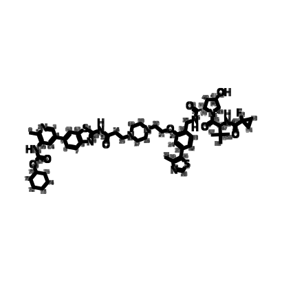 Cc1ncc(-c2ccc3nc(NC(=O)CCN4CCN(CCOc5cc(-c6scnc6C)ccc5CNC(=O)[C@@H]5C[C@@H](O)CN5C(=O)[C@@H](NC(=O)C5(F)CC5)C(C)(C)C)CC4)sc3c2)cc1NC(=O)OC1CCCCC1